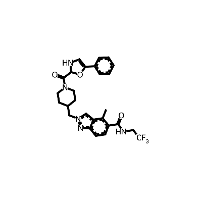 Cc1c(C(=O)NCC(F)(F)F)ccc2nn(CC3CCN(C(=O)C4NC=C(c5ccccc5)O4)CC3)cc12